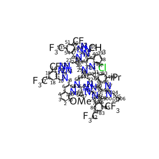 COc1cccc2cc(CN(Cc3cc(C(F)(F)F)cc(C(F)(F)F)c3)c3nnn(CC4CC4CN(CC4CC4)c4nc5c(Cl)cccc5cc4CN(Cc4cc(C(F)(F)F)cc(C(F)(F)F)c4)c4nnn(C)n4)n3)c(N(CC3CC3)CC3CC3Cn3nnc(N(Cc4cc(C(F)(F)F)cc(C(F)(F)F)c4)Cc4cc5cccc(C(C)C)c5nc4N(CC4CC4)CC4CC4)n3)nc12